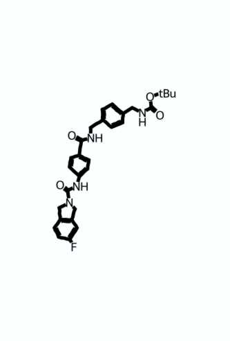 CC(C)(C)OC(=O)NCc1ccc(CNC(=O)c2ccc(NC(=O)N3Cc4ccc(F)cc4C3)cc2)cc1